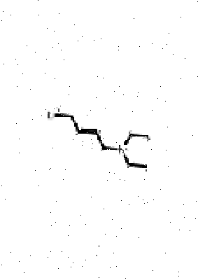 [Li][CH2]C=CCN(CC)CC